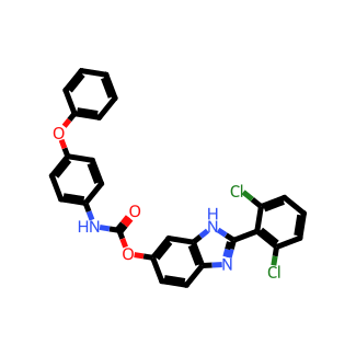 O=C(Nc1ccc(Oc2ccccc2)cc1)Oc1ccc2nc(-c3c(Cl)cccc3Cl)[nH]c2c1